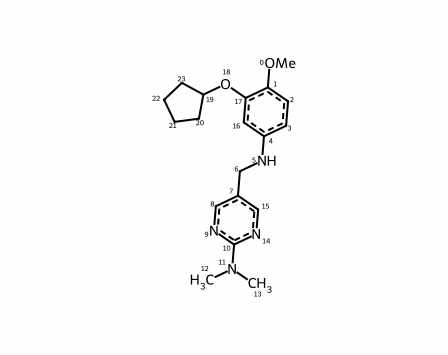 COc1ccc(NCc2cnc(N(C)C)nc2)cc1OC1CCCC1